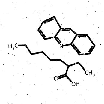 CCCCCCC(CC)C(=O)O.c1ccc2nc3ccccc3cc2c1